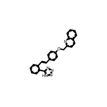 C(=Cc1ccccc1-c1nnn[nH]1)c1ccc(OCc2ccc3ccccc3n2)cc1